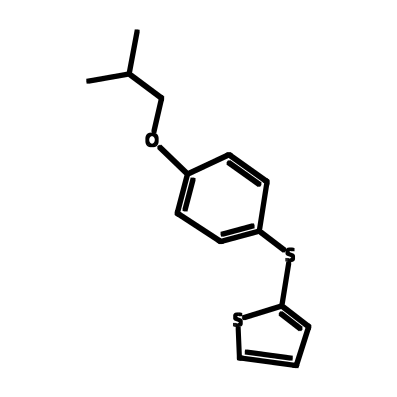 CC(C)COc1ccc(Sc2cccs2)cc1